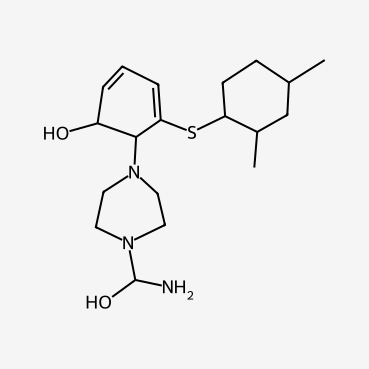 CC1CCC(SC2=CC=CC(O)C2N2CCN(C(N)O)CC2)C(C)C1